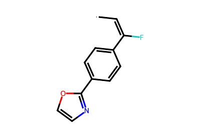 [CH2]/C=C(/F)c1ccc(-c2ncco2)cc1